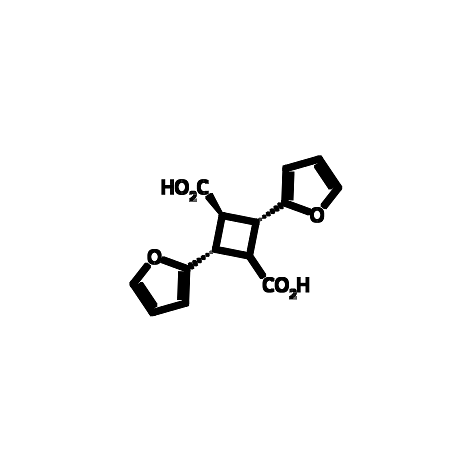 O=C(O)C1[C@H](c2ccco2)[C@@H](C(=O)O)[C@@H]1c1ccco1